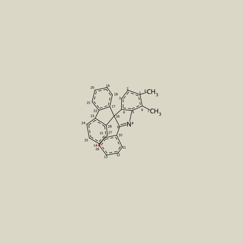 Cc1ccc2c(c1C)N=C(c1ccccc1)C21c2ccccc2-c2ccccc21